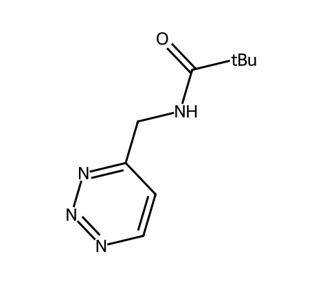 CC(C)(C)C(=O)NCc1ccnnn1